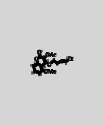 CC/C=C/CCOc1c(OC(C)=O)c(=O)oc2cccc(OC)c12